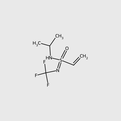 C=CS(=O)(=NC(F)(F)F)NC(C)C